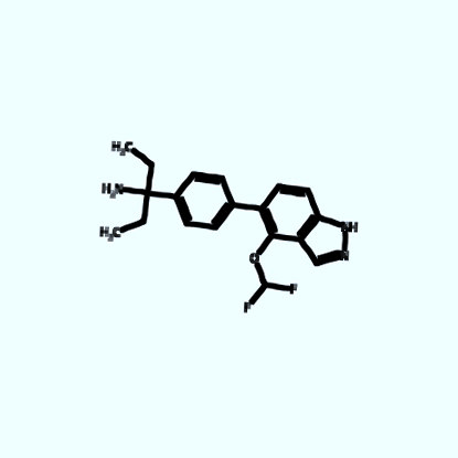 CCC(N)(CC)c1ccc(-c2ccc3[nH]ncc3c2OC(F)F)cc1